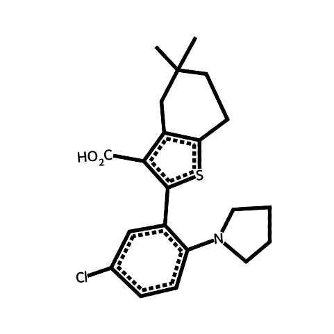 CC1(C)CCc2sc(-c3cc(Cl)ccc3N3CCCC3)c(C(=O)O)c2C1